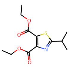 CCOC(=O)c1nc(C(C)C)sc1C(=O)OCC